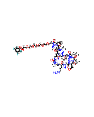 CC(=O)N[C@@H](CCCN)C(=O)NCC(=O)N[C@H](C(=O)N[C@@H](CC(C)C)C(=O)N[C@@H](C)C(=O)NCC(=O)N[C@@H](CC(C)C)C(=O)N[C@@H](CCCNC(N)=O)C(=O)NC(C)(C)C(=O)N[C@@H](CC(C)C)C(=O)NCCOCCOCCOCCOCCOCCC(=O)Oc1c(F)c(F)cc(F)c1F)C1CC1=O